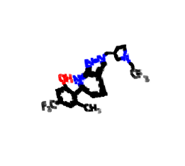 Cc1cc(C(F)(F)F)cc(O)c1-c1ccc2cn(C[C@H]3CCN(CC(F)(F)F)C3)nc2n1